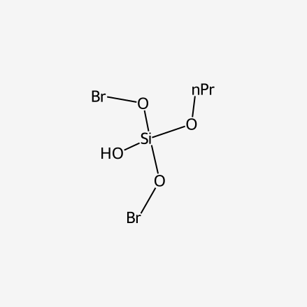 CCCO[Si](O)(OBr)OBr